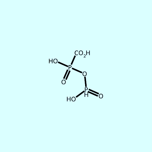 O=C(O)P(=O)(O)O[PH](=O)O